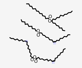 CCCCCCCC/C=C\CCCCCCCC(=O)OC(=O)CCCCCCC/C=C\CCCCCCCC.CCCCCCCC/C=C\CCCCCCCC(=O)OCCCCCCCCCC.CCCCCCCCCCCCCC(=O)OC(CCCCCCCC)CCCCCCCCCCC